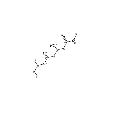 CCC(C)OC(=O)CC(O)CC(=O)OC